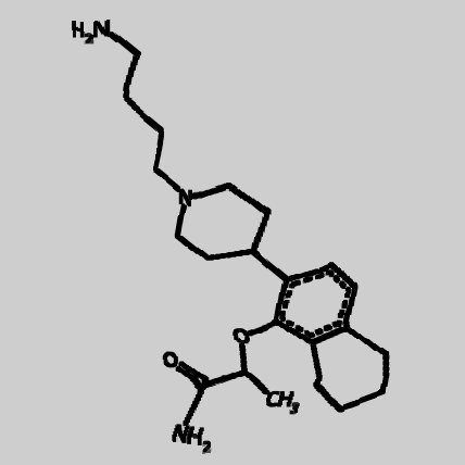 CC(Oc1c(C2CCN(CCCCN)CC2)ccc2c1CCCC2)C(N)=O